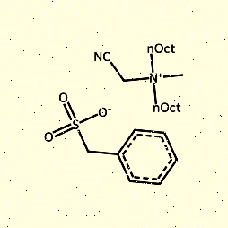 CCCCCCCC[N+](C)(CC#N)CCCCCCCC.O=S(=O)([O-])Cc1ccccc1